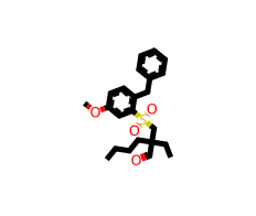 CCCCC(C=O)(CC)CS(=O)(=O)c1cc(OC)ccc1Cc1ccccc1